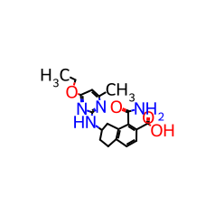 CCOc1cc(C)nc(NC2CCc3ccc(C(=O)O)c(C(N)=O)c3C2)n1